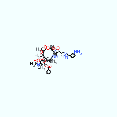 CCC(C(O)[C@@H](OCCOC(=O)c1ccccc1)O[C@@H]1[C@@H](C)C(=O)[C@@H](C)C(=O)O[C@H](CC)[C@@]2(C)OC(=O)N(CCCCn3cc(-c4cccc(N)c4)nn3)[C@@H]2[C@@H](C)NC[C@H](C)C[C@@]1(C)OC)N(C)C